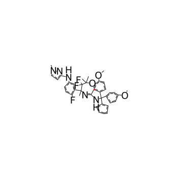 COc1ccc(C(NC2=NC(C)(c3cc(Nc4ccn(C)n4)ccc3F)C(F)(F)C(C)(C)OC2)(c2ccccc2)c2ccc(OC)cc2)cc1